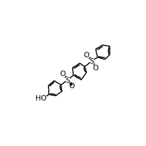 O=S(=O)(c1ccccc1)c1ccc(S(=O)(=O)c2ccc(O)cc2)cc1